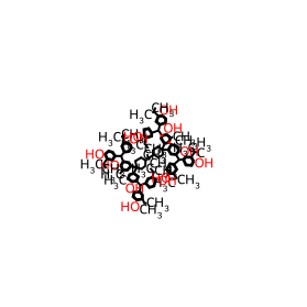 Cc1cc(C2(c3cc(C)c(O)c(C(c4ccc(O)c(C(C)C)c4)c4ccc(O)c(C(C)C)c4)c3)CCC(C(C)(C)C3CCC(c4cc(C)c(O)c(C(c5ccc(O)c(C(C)C)c5)c5ccc(O)c(C(C)C)c5)c4)(c4cc(C)c(O)c(C(c5ccc(O)c(C(C)C)c5)c5ccc(O)c(C(C)C)c5)c4)CC3)CC2)cc(C(c2ccc(O)c(C(C)C)c2)c2ccc(O)c(C(C)C)c2)c1O